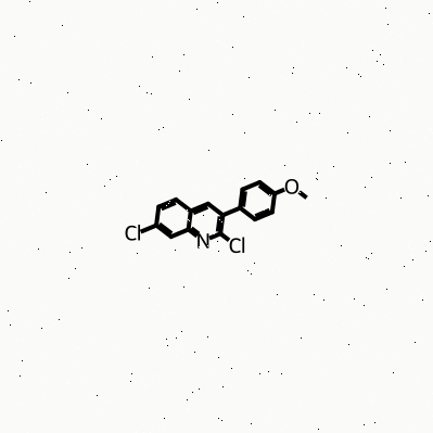 COc1ccc(-c2cc3ccc(Cl)cc3nc2Cl)cc1